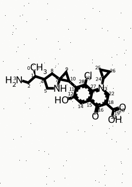 C[C@H](CN)C1CNC2(C1)CC2c1c(O)cc2c(=O)c(C(=O)O)cn(C3CC3)c2c1Cl